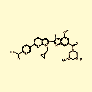 COc1cc(C(=O)N2C[C@H](N)C[C@@H](F)C2)cc2nc(-c3cc4ccc(-c5ccc(C(N)=O)nc5)nc4n3CC3CC3)n(C)c12